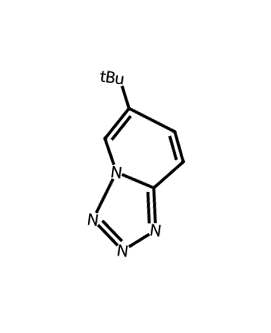 CC(C)(C)c1ccc2nnnn2c1